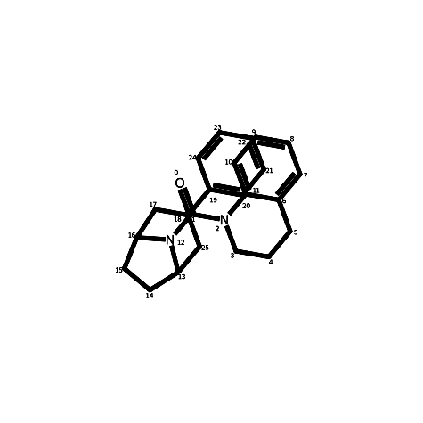 O=C(N1CCCc2ccccc21)N1C2CCC1CC(c1ccccc1)C2